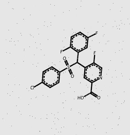 O=C(O)c1cc(C(c2cc(F)ccc2F)S(=O)(=O)c2ccc(Cl)cc2)c(F)cn1